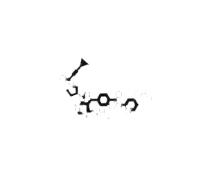 Cc1ccnc(NC(=O)c2ccc(-c3nn([C@@H]4CCN(C(=O)C#CC5CC5)C4)c4ncnc(N)c34)cc2)c1